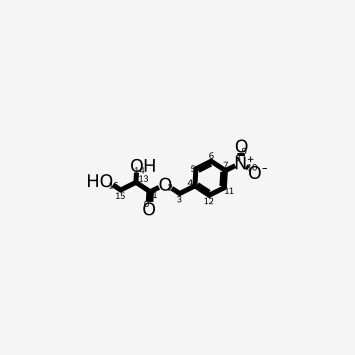 O=C(OCc1ccc([N+](=O)[O-])cc1)C(O)CO